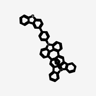 C1=Cc2oc3ccc(-c4cccc5c4c4c(-c6ccc7oc8ccccc8c7c6)cccc4n5-c4ccc(-c5ccc6oc7ccccc7c6c5)cc4)cc3c2CC1